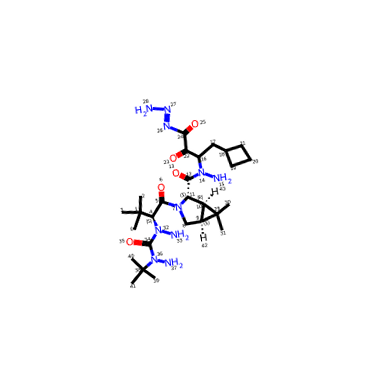 CC(C)(C)[C@@H](C(=O)N1C[C@H]2[C@@H]([C@H]1C(=O)N(N)C(CC1CCC1)C(=O)C(=O)N=NN)C2(C)C)N(N)C(=O)N(N)C(C)(C)C